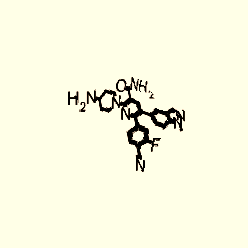 Cn1ncc2cc(-c3cc(C(N)=O)c(N4CCC(N)CC4)nc3-c3ccc(C#N)c(F)c3)ccc21